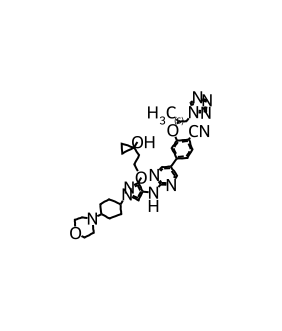 C[C@@H](Cn1cnnn1)Oc1cc(-c2cnc(Nc3cn(C4CCC(N5CCOCC5)CC4)nc3OCCC3(O)CC3)nc2)ccc1C#N